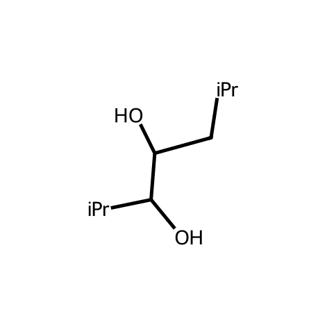 CC(C)CC(O)C(O)C(C)C